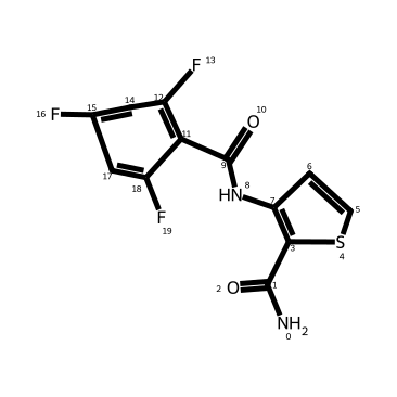 NC(=O)c1sccc1NC(=O)c1c(F)cc(F)cc1F